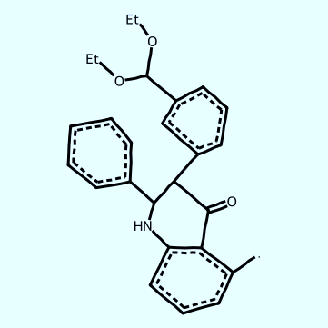 [CH2]c1cccc2c1C(=O)C(c1cccc(C(OCC)OCC)c1)C(c1ccccc1)N2